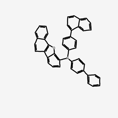 c1ccc(-c2ccc(N(c3ccc(-c4cccc5ccccc45)cc3)c3cccc4c3oc3c5ccccc5ccc43)cc2)cc1